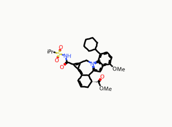 COC(=O)[C@@H]1CC=CC2=C3C(=C3C(=O)NS(=O)(=O)C(C)C)Cn3c(cc4c(OC)ccc(C5CCCCC5)c43)C21